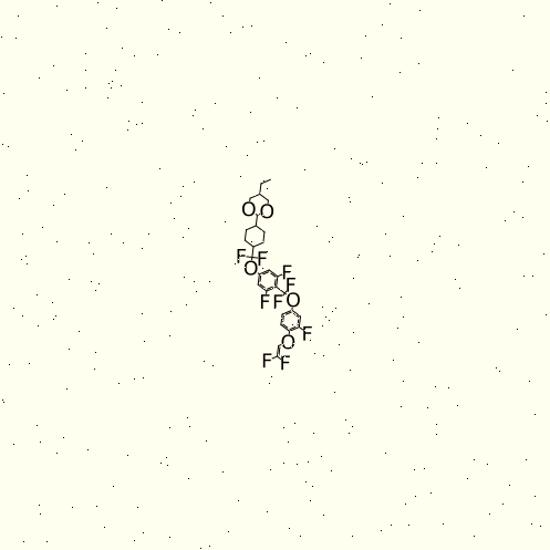 CCC1COC(C2CCC(C(F)(F)Oc3cc(F)c(C(F)(F)Oc4ccc(OC=C(F)F)c(F)c4)c(F)c3)CC2)OC1